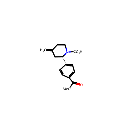 C=C1CCN(C(=O)O)[C@H](c2ccc(C(=O)OC)cc2)C1